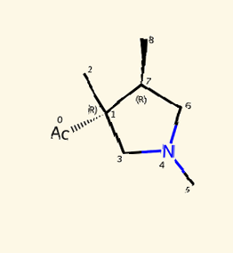 CC(=O)[C@@]1(C)CN(C)C[C@@H]1C